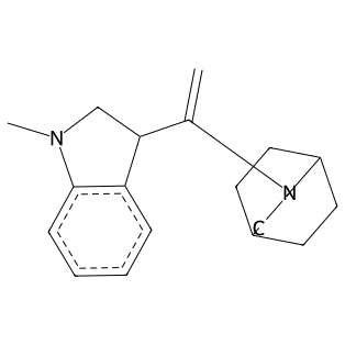 C=C(C1CN(C)c2ccccc21)N1CC2CCC(CC2)C1